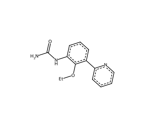 CCOc1c(NC(N)=O)cccc1-c1ccccn1